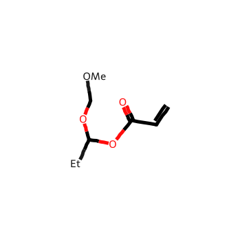 C=CC(=O)OC(CC)OCOC